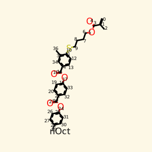 C=C(C)C(=O)OCCCCSc1ccc(C(=O)Oc2ccc(C(=O)Oc3ccc(CCCCCCCC)cc3)cc2)cc1C